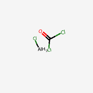 O=C(Cl)Cl.[AlH2][Cl]